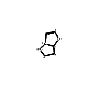 C1=CN2NCCC2O1